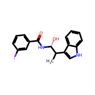 CC(c1c[nH]c2ccccc12)[C@@H](O)NC(=O)c1cccc(I)c1